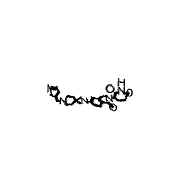 O=C1CCC(N2Cc3cc(N4CC5(CCN(Cc6cccnc6)CC5)C4)ccc3C2=O)C(=O)N1